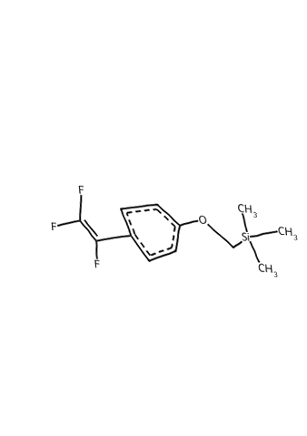 C[Si](C)(C)COc1ccc(C(F)=C(F)F)cc1